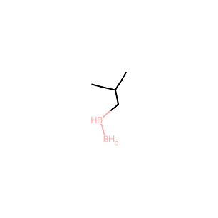 BBCC(C)C